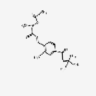 CC(=O)ON(C)C(=O)C=Cc1ccc(C(=O)OC(C)(C)C)cc1N